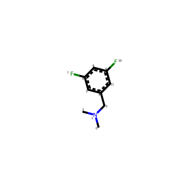 CN(C)Cc1cc(F)[c]c(F)c1